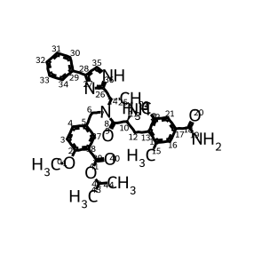 COc1ccc(CN(C(=O)[C@@H](N)Cc2c(C)cc(C(N)=O)cc2C)[C@@H](C)c2nc(-c3ccccc3)c[nH]2)cc1C(=O)OC(C)C